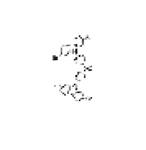 O=C(c1ccc(-n2c3cc(Br)ccc3c3ccc(Br)cc32)cc1)c1ccc(-n2c3cc(Br)ccc3c3ccc(Br)cc32)cc1